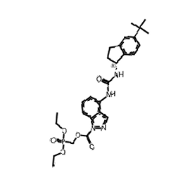 CCOP(=O)(COC(=O)n1ncc2c(NC(=O)N[C@@H]3CCc4cc(C(C)(C)C)ccc43)cccc21)OCC